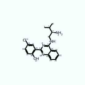 CC(C)[C@@H](N)CNc1nc(-c2cc(Cl)ccc2O)nc2ccccc12